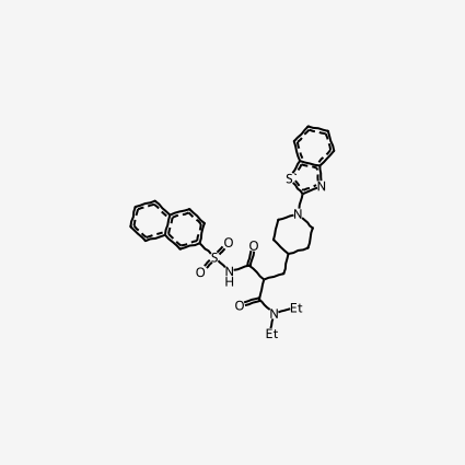 CCN(CC)C(=O)C(CC1CCN(c2nc3ccccc3s2)CC1)C(=O)NS(=O)(=O)c1ccc2ccccc2c1